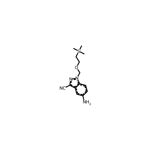 C[Si](C)(C)CCOCn1nc(C#N)c2cc(N)ccc21